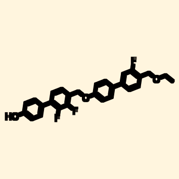 CCOCc1ccc(-c2ccc(OCc3ccc(-c4ccc(O)cc4)c(F)c3F)cc2)cc1F